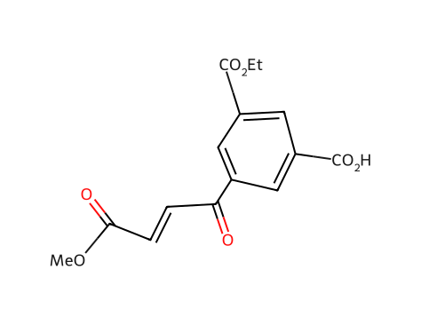 CCOC(=O)c1cc(C(=O)O)cc(C(=O)C=CC(=O)OC)c1